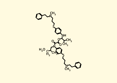 CC(C)CN(C(=O)C(=O)OC(Nc1ccc(SCCCN(C)CCc2ccccc2)cc1)C(C)C)c1ccc(SCCCN(C)CCc2ccccc2)cc1.O